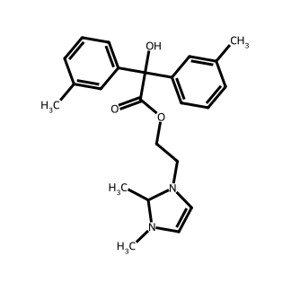 Cc1cccc(C(O)(C(=O)OCCN2C=CN(C)C2C)c2cccc(C)c2)c1